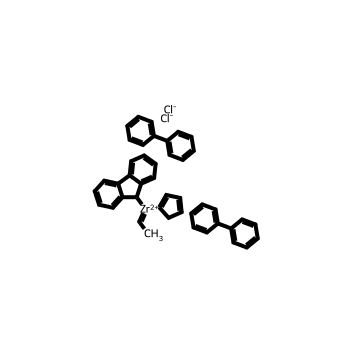 C/[CH]=[Zr+2](\[C]1=CC=CC1)[CH]1c2ccccc2-c2ccccc21.[Cl-].[Cl-].c1ccc(-c2ccccc2)cc1.c1ccc(-c2ccccc2)cc1